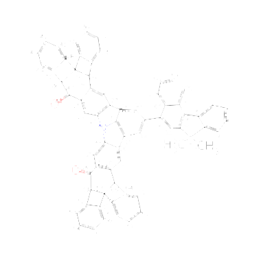 CC1(C)c2ccccc2-c2c1cc(-c1cc3c4cc5c(cc4n4c6cc7c(cc6c(c1)c34)C1c3ccccc3C13c1ccccc1C3C7=O)C(=O)C1c3ccccc3C13c1ccccc1C53)c1ccccc21